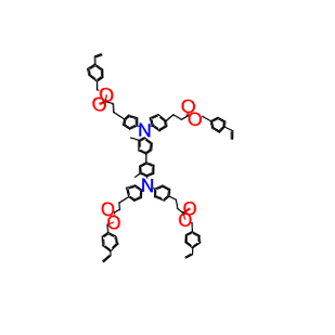 C=Cc1ccc(COC(=O)CCc2ccc(N(c3ccc(CCC(=O)OCc4ccc(C=C)cc4)cc3)c3ccc(-c4ccc(N(c5ccc(CCC(=O)OCc6ccc(C=C)cc6)cc5)c5ccc(CCC(=O)OCc6ccc(C=C)cc6)cc5)c(C)c4)cc3C)cc2)cc1